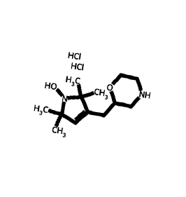 CC1(C)C=C(CC2CNCCO2)C(C)(C)N1O.Cl.Cl